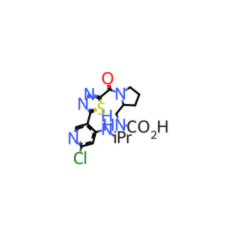 CC(C)Nc1cc(Cl)ncc1-c1nnc(C(=O)N2CCCC2CNC(=O)O)s1